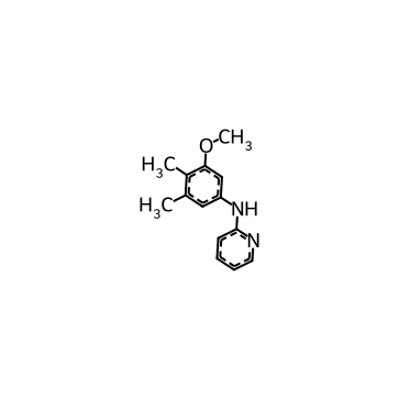 COc1cc(Nc2ccccn2)cc(C)c1C